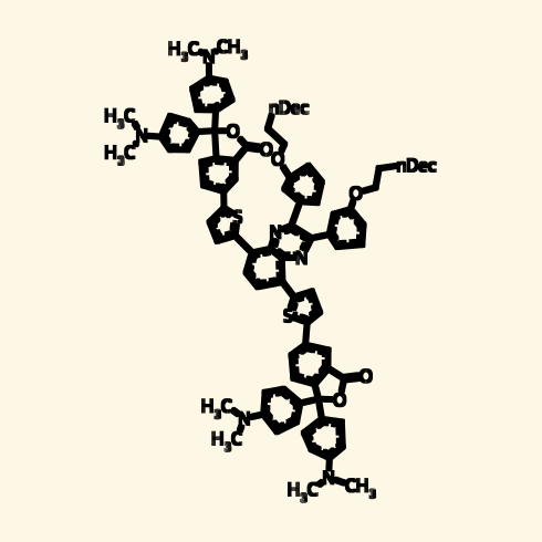 CCCCCCCCCCCCOc1cccc(-c2nc3c(-c4ccc(-c5ccc6c(c5)C(=O)OC6(c5ccc(N(C)C)cc5)c5ccc(N(C)C)cc5)s4)ccc(-c4ccc(-c5ccc6c(c5)C(=O)OC6(c5ccc(N(C)C)cc5)c5ccc(N(C)C)cc5)s4)c3nc2-c2cccc(OCCCCCCCCCCCC)c2)c1